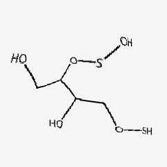 OCC(OSO)C(O)COS